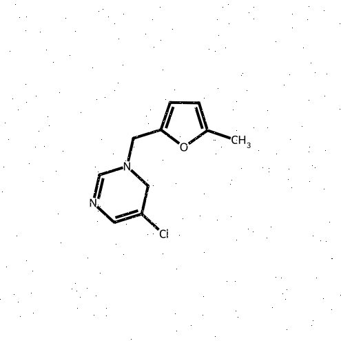 Cc1ccc(CN2C=NC=C(Cl)C2)o1